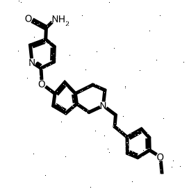 COc1ccc(CCN2CCc3cc(Oc4ccc(C(N)=O)cn4)ccc3C2)cc1